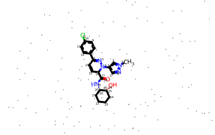 Cn1cc(N2N=C(c3ccc(Cl)cc3)C=CC2C(=O)N[C@H]2CCCC[C@H]2O)cn1